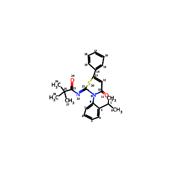 CC(C)c1ccccc1-n1c(=O)cc(-c2ccccc2)sc1=NC(=O)C(C)(C)C